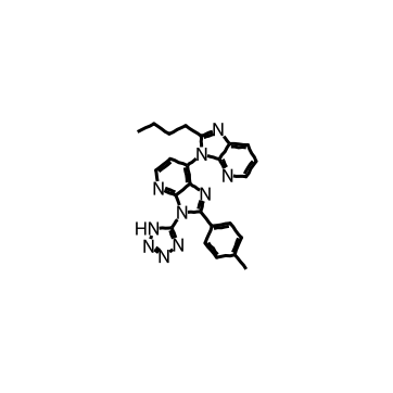 CCCCc1nc2cccnc2n1-c1ccnc2c1nc(-c1ccc(C)cc1)n2-c1nnn[nH]1